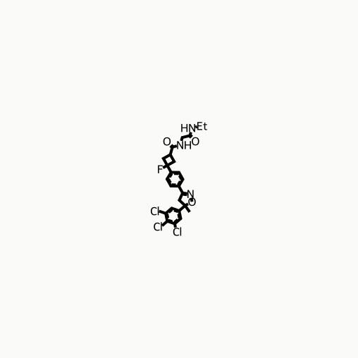 CCNC(=O)CNC(=O)C1CC(F)(c2ccc(C3=NOC(C)(c4cc(Cl)c(Cl)c(Cl)c4)C3)cc2)C1